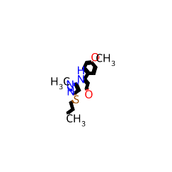 CCCCSc1cc(N/C(=C\C=O)c2ccc(OC)cc2)n(C)n1